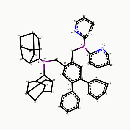 c1ccc(-c2cc(CP(c3ccccn3)c3ccccn3)c(CP(C3C4CC5CC(C4)CC3C5)C3C4CC5CC(C4)CC3C5)cc2-c2ccccc2)cc1